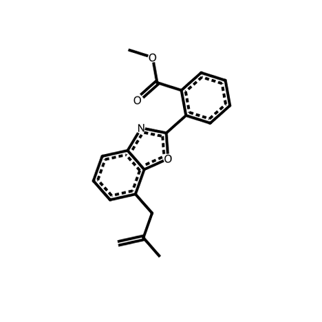 C=C(C)Cc1cccc2nc(-c3ccccc3C(=O)OC)oc12